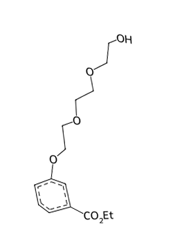 CCOC(=O)c1cccc(OCCOCCOCCO)c1